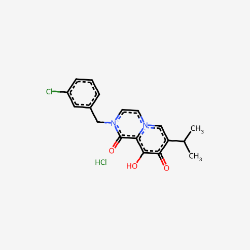 CC(C)c1cn2ccn(Cc3cccc(Cl)c3)c(=O)c2c(O)c1=O.Cl